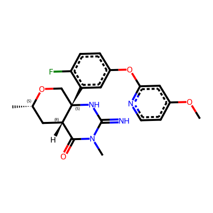 COc1ccnc(Oc2ccc(F)c([C@]34CO[C@@H](C)C[C@H]3C(=O)N(C)C(=N)N4)c2)c1